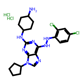 Cl.Cl.NC1CCC(Nc2nc(NNc3ccc(Cl)cc3Cl)c3ncn(C4CCCC4)c3n2)CC1